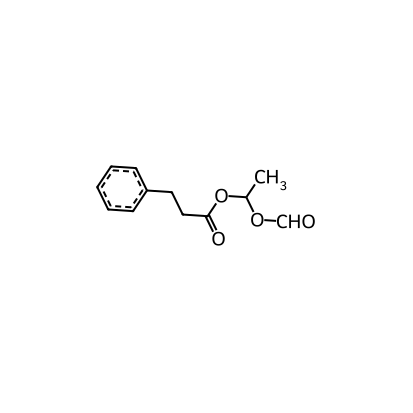 CC(OC=O)OC(=O)CCc1ccccc1